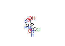 O=C(O)CCc1cccc(/C(Nc2ccc(CN3CCC3)cc2)=C2/C(=O)Nc3cc(Cl)ccc32)c1